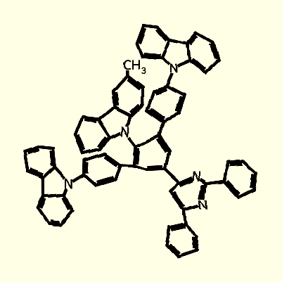 Cc1ccc2c(c1)c1ccccc1n2-c1c(-c2ccc(-n3c4ccccc4c4ccccc43)cc2)cc(-c2cc(-c3ccccc3)nc(-c3ccccc3)n2)cc1-c1ccc(-n2c3ccccc3c3ccccc32)cc1